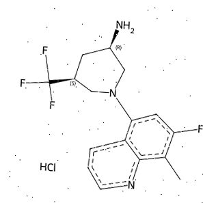 Cc1c(F)cc(N2C[C@H](N)C[C@H](C(F)(F)F)C2)c2cccnc12.Cl